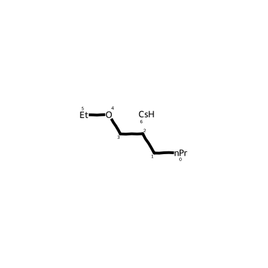 CCCCCCOCC.[CsH]